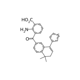 CC1(C)CC=C(c2ccsc2)c2cc(C(=O)c3cccc(C(=O)O)c3N)ccc21